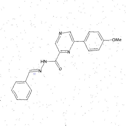 COc1ccc(-c2cncc(C(=O)N/N=C/c3ccccc3)n2)cc1